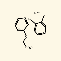 Cc1ccccc1O.O=C([O-])COc1ccccc1.[Na+]